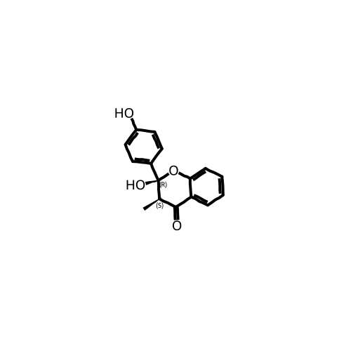 C[C@@H]1C(=O)c2ccccc2O[C@@]1(O)c1ccc(O)cc1